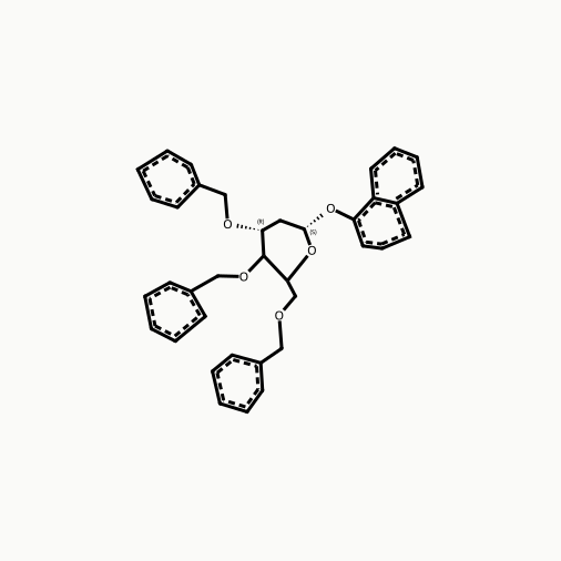 c1ccc(COCC2O[C@@H](Oc3cccc4ccccc34)C[C@@H](OCc3ccccc3)C2OCc2ccccc2)cc1